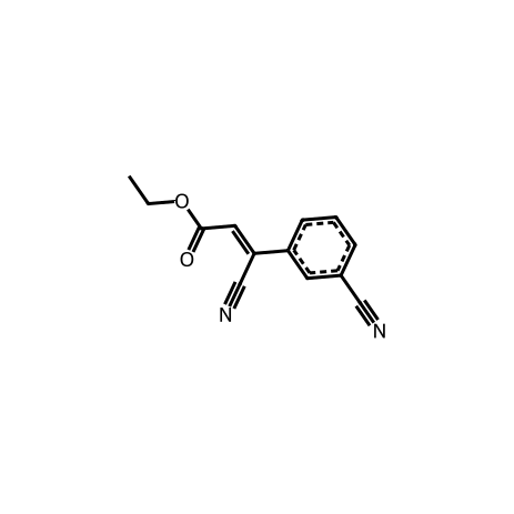 CCOC(=O)C=C(C#N)c1cccc(C#N)c1